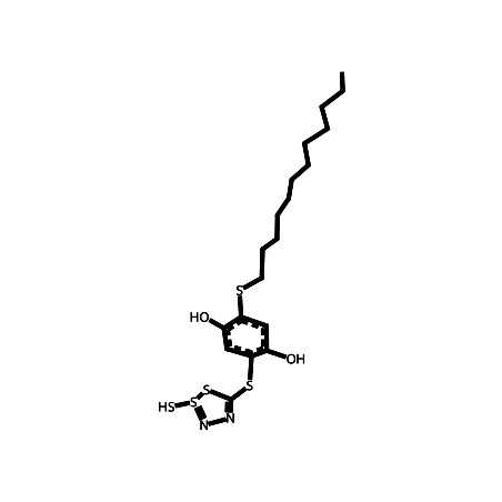 CCCCCCCCCCCCSc1cc(O)c(SC2=NN=S(S)S2)cc1O